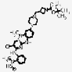 COc1cc(N2CCN(CC3CN(C(=O)OC(C)(C)C)C3)CC2)ccc1Nc1ncc(Cl)c(Nc2ccccc2N(C)[SH]=O)n1